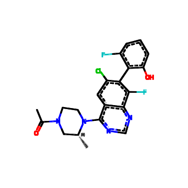 CC(=O)N1CCN(c2ncnc3c(F)c(-c4c(O)cccc4F)c(Cl)cc23)[C@H](C)C1